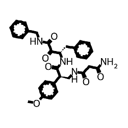 COc1ccc([C@H](CNC(=O)CC(N)=O)C(=O)N[C@@H](Cc2ccccc2)C(=O)C(=O)NCc2ccccc2)cc1